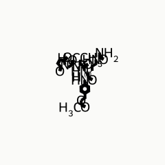 CC(=O)OCc1ccc(NC(=O)[C@@H](CCCNC(N)=O)NC(=O)[C@H](NC(=O)CN2C(=O)C=CC2=O)C(C)C)cc1